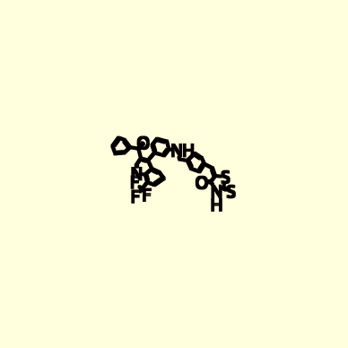 O=C1NC(=S)SC1=Cc1ccc(CNc2cccc(-c3c(C(=O)c4ccccc4)cnc4c(C(F)(F)F)cccc34)c2)cc1